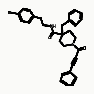 CCc1ccc(CCNC(=O)C2(Cc3ccccc3)CCN(C(=O)C#Cc3ccccc3)CC2)cc1